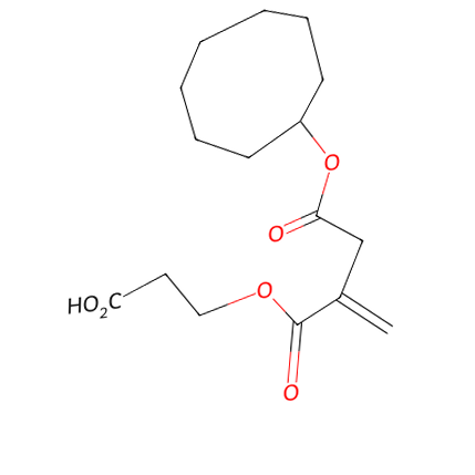 C=C(CC(=O)OC1CCCCCCC1)C(=O)OCCC(=O)O